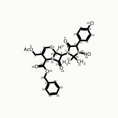 CC(=O)OCC1=CS[C@H]2C(N3C(=O)C(c4ccc(Cl)cc4)N(N=O)C3(C)C)C(=O)N2C1C(=O)OCc1ccccc1